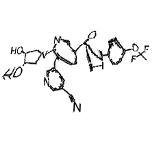 CC(F)(F)Oc1ccc(NC(=O)c2cnc(N3C[C@@H](O)[C@@H](O)C3)c(-c3cncc(C#N)c3)c2)cc1